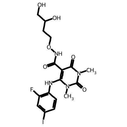 Cn1c(Nc2ccc(I)cc2F)c(C(=O)NOCCC(O)CO)c(=O)n(C)c1=O